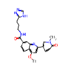 CCOc1cc(-c2ccc(=O)n(C)c2)nc2cc(C(=O)NCCCc3nnc[nH]3)ccc12